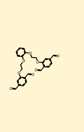 O=Cc1ccc(C=O)c(OCCOc2ccccc2OCCOc2cc(C=O)ccc2C=O)c1